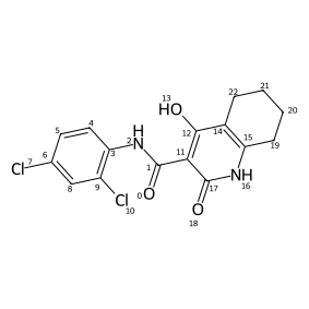 O=C(Nc1ccc(Cl)cc1Cl)c1c(O)c2c([nH]c1=O)CCCC2